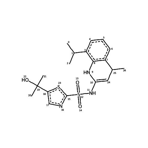 CC(C)c1cccc2c1NC(NS(=O)(=O)c1ncc(C(C)(C)O)s1)=CC2C